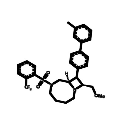 COC[C@@H]1C(c2ccc(-c3cccc(C)c3)cc2)[C@@H]2CN(S(=O)(=O)c3ccccc3C(F)(F)F)CCCCN12